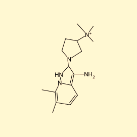 CC1=C(C)N2NC(N3CCC([N+](C)(C)C)C3)C(N)=C2C=C1